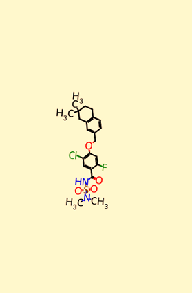 CN(C)S(=O)(=O)NC(=O)c1cc(Cl)c(OCc2ccc3c(c2)CC(C)(C)CC3)cc1F